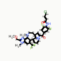 COCc1nc2c3c(c(C(F)F)cc2n1C)-c1cccn2c(C(=O)c4cc(F)c(NC(=O)/C=C/CCl)c(F)c4)cc(c12)CCN3C